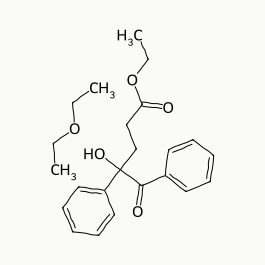 CCOC(=O)CCC(O)(C(=O)c1ccccc1)c1ccccc1.CCOCC